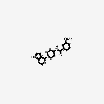 COc1cccc(C(=O)NC2CCN(c3ncnc4[nH]ccc34)CC2)c1